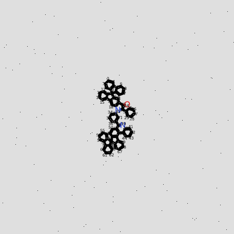 c1ccc(C2(c3ccccc3)c3ccccc3-c3cc4c(cc32)c2oc3ccccc3c2n4-c2cccc(-c3nc4ccccc4c4c5c(ccc34)C3(c4ccccc4-c4ccccc43)c3ccccc3-5)c2)cc1